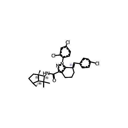 CC1(C)[C@H](NC(=O)c2nn(-c3ccc(Cl)cc3Cl)c3c2CCC/C3=C\c2ccc(Cl)cc2)[C@@]2(C)CCC3C[C@@]312